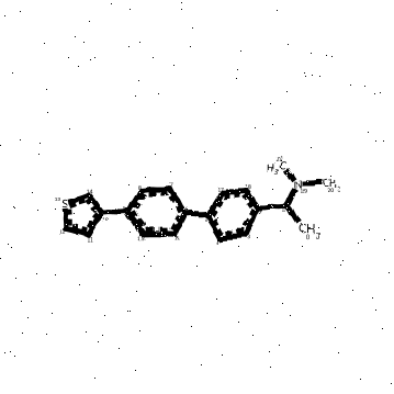 CC(c1ccc(-c2ccc(-c3ccsc3)cc2)cc1)N(C)C